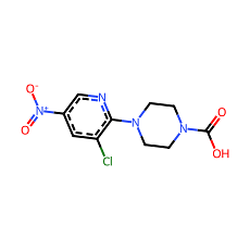 O=C(O)N1CCN(c2ncc([N+](=O)[O-])cc2Cl)CC1